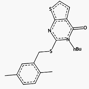 CCCCn1c(SCc2cc(C)ccc2C)nc2sccc2c1=O